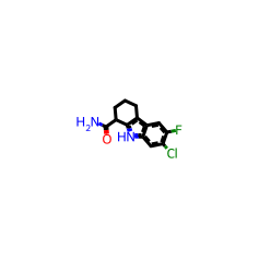 NC(=O)C1CCCc2c1[nH]c1cc(Cl)c(F)cc21